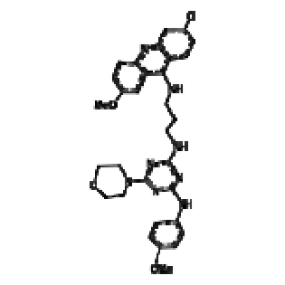 COc1ccc(Nc2nc(NCCCNc3c4ccc(Cl)cc4nc4ccc(OC)cc34)nc(N3CCOCC3)n2)cc1